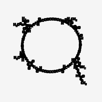 CCCC(=O)NCCCCC(NC(=O)C1CCCCNC(=O)CCOCCOCCNC(=O)CCN2C(=O)CC(SCC(NC(C)=O)C(=O)NCCOCCOCCC(=O)NC(C(=O)NC(CSC)C(N)=O)CCCCNC(=O)CCOCCOCCNC(=O)C(NC(C)=O)CSC3CC(=O)N(CCC(=O)NCCOCCOCCC(=O)N1)C3=O)C2=O)C(N)=O